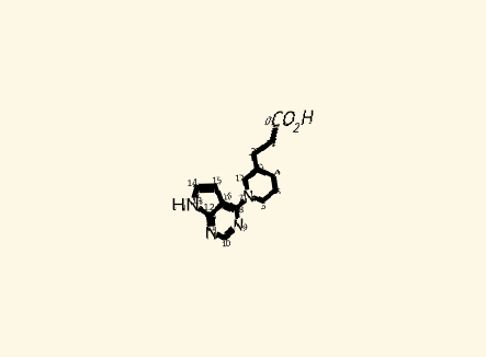 O=C(O)CCC1CCCN(c2ncnc3[nH]ccc23)C1